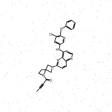 CC#CC(=O)N1CCC12CN(c1ccc3ncnc(Nc4cnc(Oc5ccccc5)c(Cl)c4)c3n1)C2